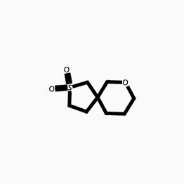 O=S1(=O)CCC2(CCCOC2)C1